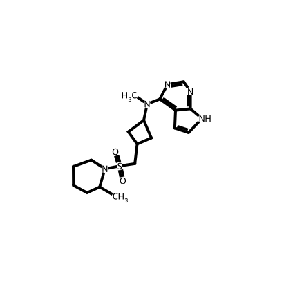 CC1CCCCN1S(=O)(=O)CC1CC(N(C)c2ncnc3[nH]ccc23)C1